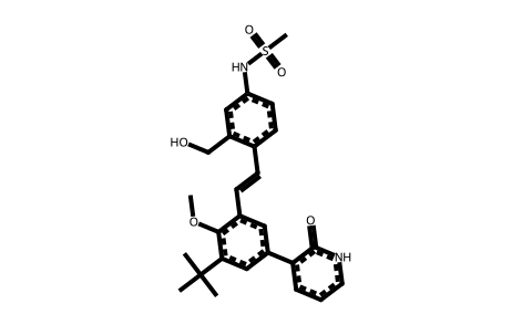 COc1c(C=Cc2ccc(NS(C)(=O)=O)cc2CO)cc(-c2ccc[nH]c2=O)cc1C(C)(C)C